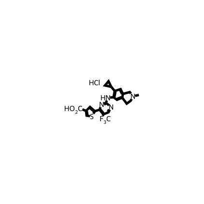 CN1CCc2cc(Nc3ncc(C(F)(F)F)c(-c4cc(C(=O)O)cs4)n3)c(C3CC3)cc2C1.Cl